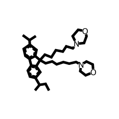 CCC(C)c1ccc2c(c1)C(CCCCCCN1CCOCC1)(CCCCCCN1CCOCC1)c1cc(C(C)C)ccc1-2